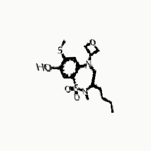 CCCCC1CN(C2COC2)c2cc(SC)c(O)cc2S(=O)(=O)N1C